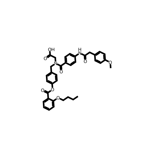 CCCCOc1ccccc1C(=O)Oc1ccc(CN(CC(=O)O)C(=O)c2ccc(NC(=O)Cc3ccc(OC)cc3)cc2)cc1